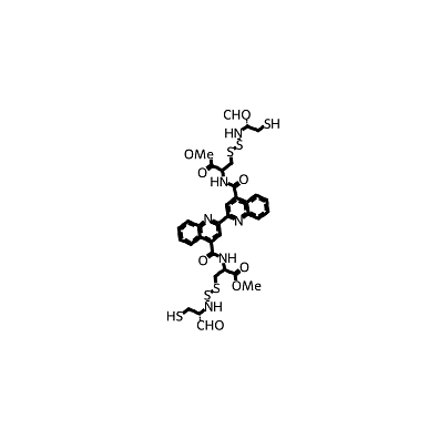 COC(=O)C(CSSN[C@H](C=O)CS)NC(=O)c1cc(-c2cc(C(=O)NC(CSSN[C@H](C=O)CS)C(=O)OC)c3ccccc3n2)nc2ccccc12